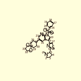 CN1CCCC1c1nc(-c2cn(S(=O)(=O)c3ccccc3)c3ncc(C4CCC5(CC4)OCCO5)cc23)cs1